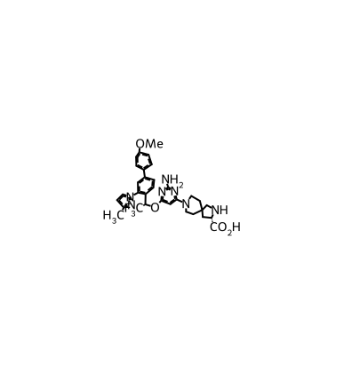 COc1ccc(-c2ccc([C@@H](Oc3cc(N4CCC5(CC4)CN[C@H](C(=O)O)C5)nc(N)n3)C(F)(F)F)c(-n3ccc(C)n3)c2)cc1